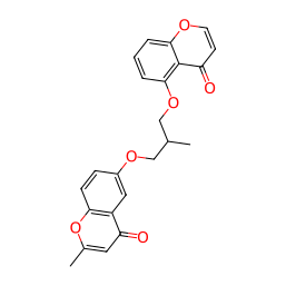 Cc1cc(=O)c2cc(OCC(C)COc3cccc4occc(=O)c34)ccc2o1